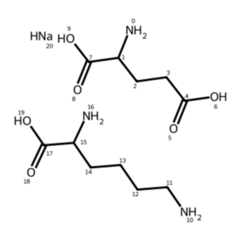 NC(CCC(=O)O)C(=O)O.NCCCCC(N)C(=O)O.[NaH]